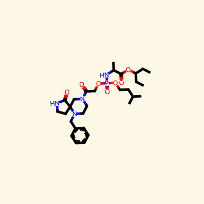 CCC(CC)OC(=O)C(C)NP(=O)(OCCC(C)C)OCC(=O)N1CCN(Cc2ccccc2)C2(CCNC2=O)C1